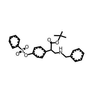 CC(C)(C)OC(=O)C(CNCc1ccccc1)c1ccc(OS(=O)(=O)c2ccccc2)cc1